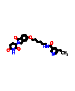 CCc1cncc(C(=O)NCCCCCCOc2ccc3c(c2)CN(C2CCC(=O)NC2=O)C3=O)c1